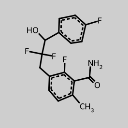 Cc1ccc(CC(F)(F)C(O)c2ccc(F)cc2)c(F)c1C(N)=O